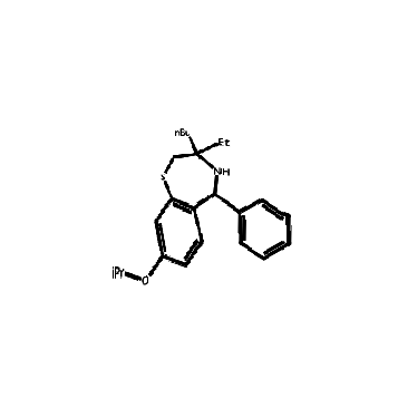 CCCCC1(CC)CSc2cc(OC(C)C)ccc2C(c2ccccc2)N1